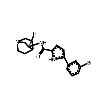 O=C(N[C@H]1CN2CCC1CC2)c1ccc(-c2cccc(Br)c2)[nH]1